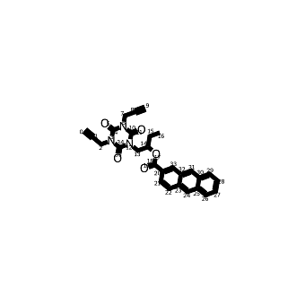 C#CCn1c(=O)n(CC#C)c(=O)n(CC(CC)OC(=O)c2ccc3cc4ccccc4cc3c2)c1=O